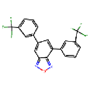 FC(F)(F)c1cccc(-c2cc(-c3cccc(C(F)(F)F)c3)c3nonc3c2)c1